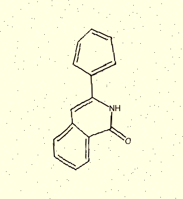 O=c1[nH]c(-c2c[c]ccc2)cc2ccccc12